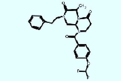 CC1C(=O)N(CCc2ccccc2)CC2N(C(=O)c3ccc(OC(F)F)cc3)CCC(=O)N12